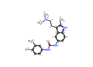 Cc1cc(NC(=O)Nc2ccc3[nH]c(C)c(CCN(C)C)c3c2)ccc1Br